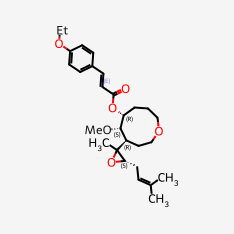 CCOc1ccc(/C=C/C(=O)O[C@@H]2CCCOCC[C@@H](C3(C)O[C@H]3CC=C(C)C)[C@@H]2OC)cc1